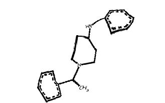 CC(c1ccccc1)N1CCC(Nc2ccccc2)CC1